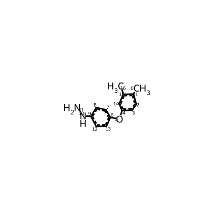 Cc1ccc(Oc2ccc(NN)cc2)cc1C